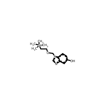 C[SH](C)(C)(C)CCOCn1cnc2cc(O)ccc21